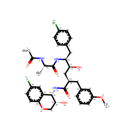 COC(=O)N[C@H](C(=O)N[C@@H](Cc1ccc(Br)cc1)[C@@H](O)C[C@@H](Cc1cccc(OC(F)(F)F)c1)C(=O)N[C@H]1c2cc(F)ccc2OC[C@H]1O)C(C)(C)C